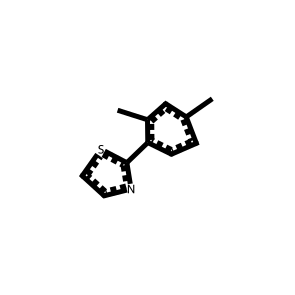 Cc1ccc(-c2nccs2)c(C)c1